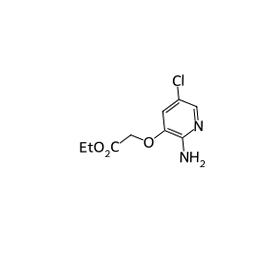 CCOC(=O)COc1cc(Cl)cnc1N